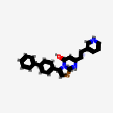 O=c1cc(/C=C/c2cccnc2)nc2scc(-c3ccc(-c4ccccc4)cc3)n12